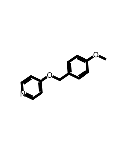 COc1ccc(COc2ccncc2)cc1